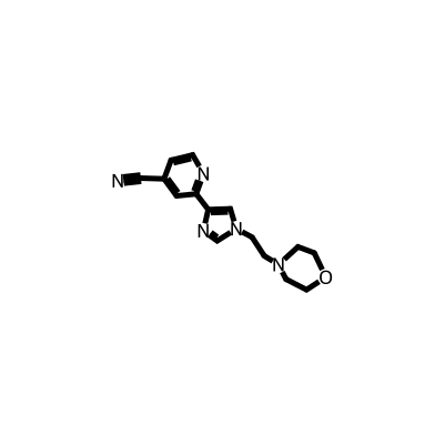 N#Cc1ccnc(-c2cn(CCN3CCOCC3)cn2)c1